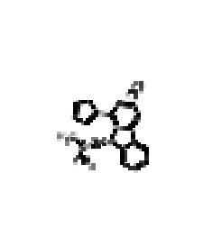 C[Si](C)[Zr+2][CH]1c2ccccc2-c2cccc(C3=CC=CC3)c21.[Cl-].[Cl-]